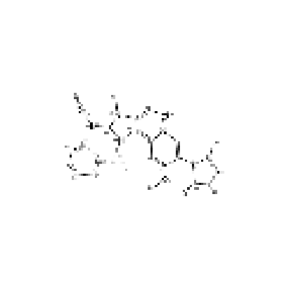 COc1cc2c(cc1-c1c(C)noc1C)ncc1c2n([C@H](C)c2ccccn2)c(=NC#N)n1C